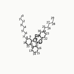 CCCCCCCCc1ccc(-c2ccccc2C(=O)Oc2ccc(CCCCC)cc2F)cc1